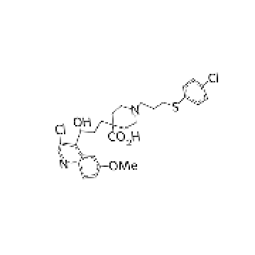 COc1ccc2ncc(Cl)c(C(O)CCC3(C(=O)O)CCN(CCCSc4ccc(Cl)cc4)CC3)c2c1